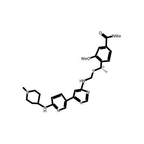 CNC(=O)c1ccc([C@H](C)SCNc2cc(-c3ccc(NC4CCN(C)CC4)nc3)ncn2)c(OC)c1